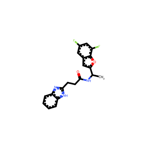 CC(NC(=O)CCc1nc2ccccc2[nH]1)c1cc2cc(F)cc(F)c2o1